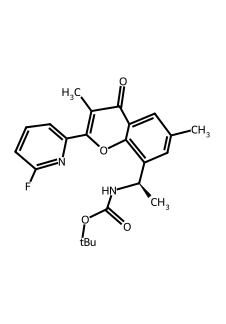 Cc1cc([C@@H](C)NC(=O)OC(C)(C)C)c2oc(-c3cccc(F)n3)c(C)c(=O)c2c1